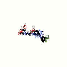 COC[C@@H]1CN(C/C=C/C(=O)Nc2cc3c(Nc4ccc(F)c(Cl)c4)ncnc3cc2OC)CC(=O)O1